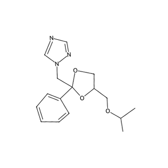 CC(C)OCC1COC(Cn2cncn2)(c2ccccc2)O1